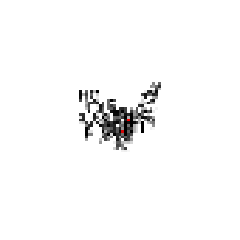 C#Cc1c(F)ccc2cc(O)cc(-c3nc(OC)c4c(N5CC6CCC(C5)N6C(=O)NC(C)C#N)nc(OCC5(CN6CC7CC7C6)CC5)nc4c3F)c12